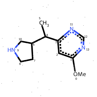 COc1cc(C(C)C2CCNC2)ncn1